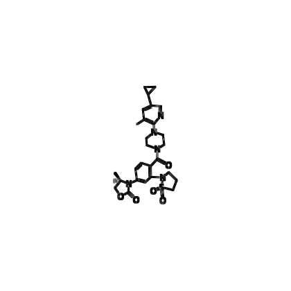 Cc1cc(C2CC2)cnc1N1CCN(C(=O)c2ccc(N3C(=O)OC[C@H]3C)cc2N2CCCS2(=O)=O)CC1